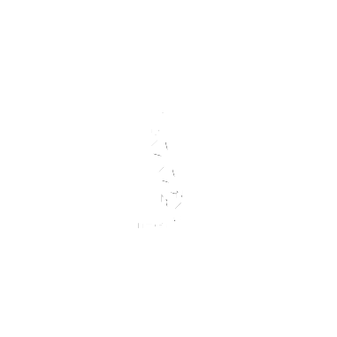 CCCCCCCOc1cnc(-c2ccc(-c3ccc(OC[C@@H](F)CC)cc3)cc2)nc1